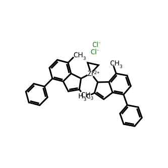 CC1=Cc2c(-c3ccccc3)ccc(C)c2[CH]1[Zr+2]1([CH]2C(C)=Cc3c(-c4ccccc4)ccc(C)c32)[CH2][CH2]1.[Cl-].[Cl-]